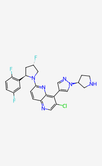 Fc1ccc(F)c([C@H]2C[C@H](F)CN2c2ccc3ncc(Cl)c(-c4cnn([C@H]5CCNC5)c4)c3n2)c1